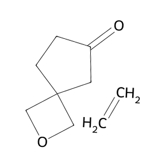 C=C.O=C1CCC2(COC2)C1